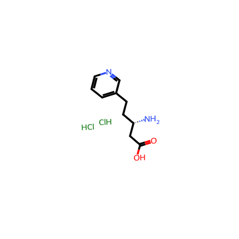 Cl.Cl.N[C@@H](CCc1cccnc1)CC(=O)O